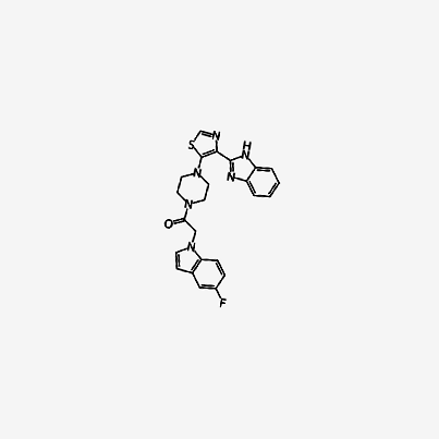 O=C(Cn1ccc2cc(F)ccc21)N1CCN(c2scnc2-c2nc3ccccc3[nH]2)CC1